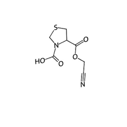 N#CCOC(=O)C1CSCN1C(=O)O